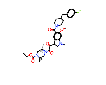 CCOC(=O)N1C[C@H](C)N(C(=O)C(=O)C2CN(C)c3cc(OC)c(C(=O)N4CCC(Cc5ccc(F)cc5)CC4)cc32)C[C@H]1C